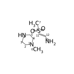 CN1CCNCC1.CS(=O)(=O)C=CN